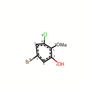 COc1c(O)cc(Br)cc1Cl